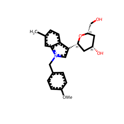 COc1ccc(Cn2cc([C@H]3C[C@@H](O)C[C@@H](CO)O3)c3ccc(C)cc32)cc1